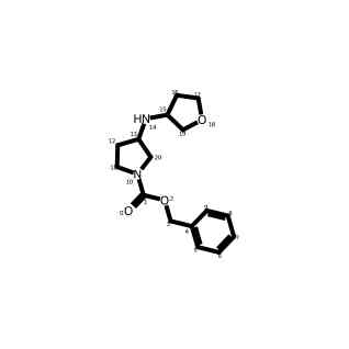 O=C(OCc1ccccc1)N1CCC(NC2CCOC2)C1